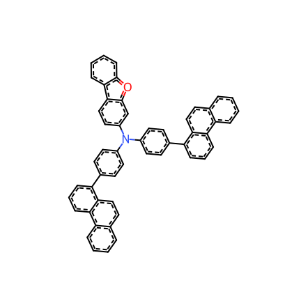 c1ccc2c(c1)ccc1c(-c3ccc(N(c4ccc(-c5cccc6c5ccc5ccccc56)cc4)c4ccc5c(c4)oc4ccccc45)cc3)cccc12